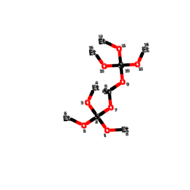 CCO[Si](OCC)(OCC)[O][Sn][O][Si](OCC)(OCC)OCC